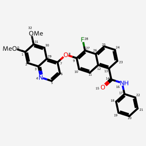 COc1cc2nccc(Oc3ccc4c(C(=O)Nc5ccccc5)cccc4c3F)c2cc1OC